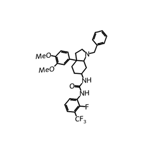 COc1ccc(C23CCC(NC(=O)Nc4cccc(C(F)(F)F)c4F)CC2N(Cc2ccccc2)CC3)cc1OC